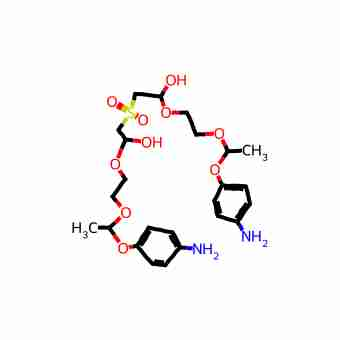 CC(OCCOC(O)CS(=O)(=O)CC(O)OCCOC(C)Oc1ccc(N)cc1)Oc1ccc(N)cc1